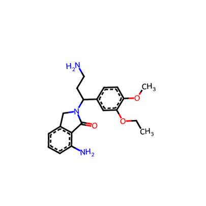 CCOc1cc(C(CCN)N2Cc3cccc(N)c3C2=O)ccc1OC